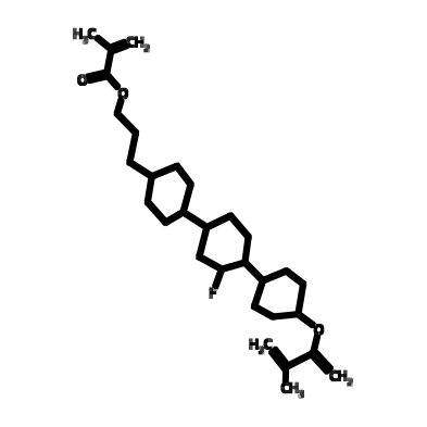 C=C(C)C(=C)OC1CCC(C2CCC(C3CCC(CCCOC(=O)C(=C)C)CC3)CC2F)CC1